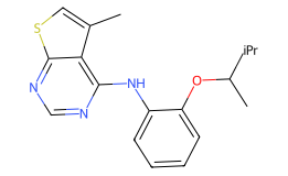 Cc1csc2ncnc(Nc3ccccc3OC(C)C(C)C)c12